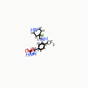 O=c1[nH]nc(-c2ccc(C(F)(F)F)c(NCC3(F)CCNCC3)c2)o1